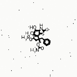 COC(CC(COC(N)=O)(Cc1ccccc1)c1ccc(O)c2[nH]c(=O)sc12)OC